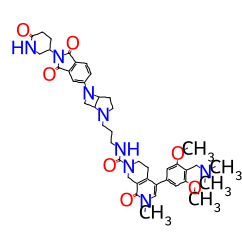 COc1cc(-c2cn(C)c(=O)c3c2CCN(C(=O)NCCCN2CCC4C2CN4c2ccc4c(c2)C(=O)N(C2CCC(=O)NC2)C4=O)C3)cc(OC)c1CN(C)C